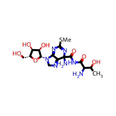 CSC1=NC(N)(C(=O)NC(=O)C(N)C(C)O)C2=NCN([C@@H]3O[C@H](CO)[C@@H](O)[C@H]3O)C2=N1